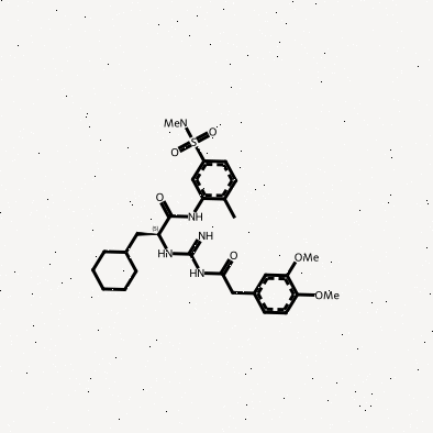 CNS(=O)(=O)c1ccc(C)c(NC(=O)[C@H](CC2CCCCC2)NC(=N)NC(=O)Cc2ccc(OC)c(OC)c2)c1